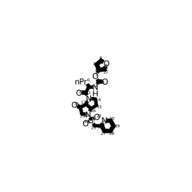 CCCC(NC(=O)Oc1ccoc1)C(=O)N1CCC2C1C(=O)CN2S(=O)(=O)Cc1ccccn1